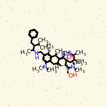 C=C1C2=C(C)[C@](O)(CC(C)C(C)N)[C@H]([C@H](CO)N(C)C)C[C@@H]2Cc2c(N(C)C)cc(CNC(C)C(Cc3ccccc3)C(C)C)c(C)c21